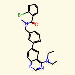 CCN(CC)c1ncnc2ccc(-c3cccc(CN(C)C(=O)c4ccccc4Br)c3)cc12